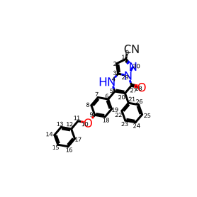 N#Cc1cc2[nH]c(-c3ccc(OCc4ccccc4)cc3)c(-c3ccccc3)c(=O)n2n1